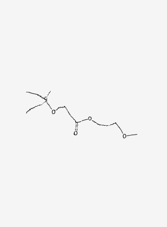 COCCOC(=O)CO[Si](C)(C)C